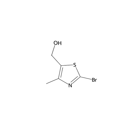 Cc1nc(Br)sc1CO